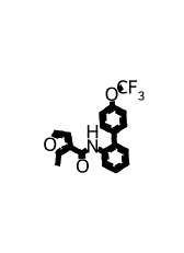 Cc1occc1C(=O)Nc1ccccc1-c1ccc(OC(F)(F)F)cc1